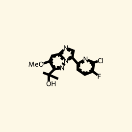 COc1cc2ncc(-c3ccc(F)c(Cl)n3)n2nc1C(C)(C)O